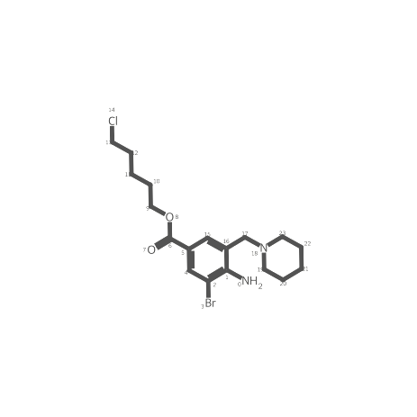 Nc1c(Br)cc(C(=O)OCCCCCCl)cc1CN1CCCCC1